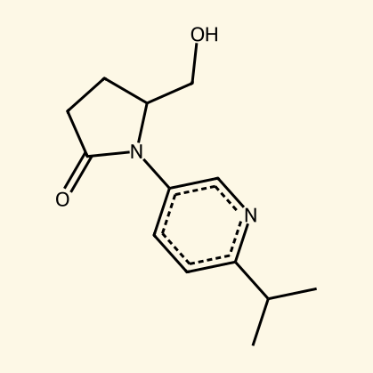 CC(C)c1ccc(N2C(=O)CCC2CO)cn1